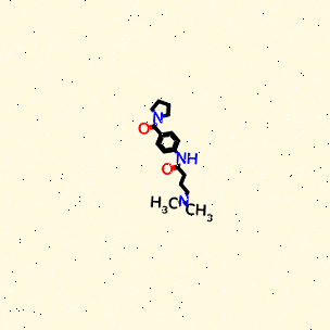 CN(C)CCCC(=O)Nc1ccc(C(=O)N2CCCC2)cc1